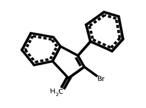 C=C1C(Br)=C(c2ccccc2)c2ccccc21